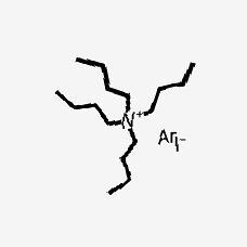 CCCC[N+](CCCC)(CCCC)CCCC.[Ar].[I-]